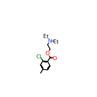 CCN(CC)CCOC(=O)c1ccc(C)cc1Cl